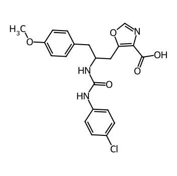 COc1ccc(CC(Cc2ocnc2C(=O)O)NC(=O)Nc2ccc(Cl)cc2)cc1